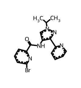 CC(C)n1cc(NC(=O)c2cccc(Br)n2)c(-c2ccccn2)n1